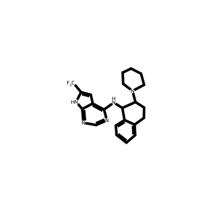 FC(F)(F)c1cc2c(NC3c4ccccc4CCC3N3CCCCC3)ncnc2[nH]1